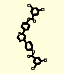 O=C(Oc1ccc(-c2cc(-c3ccc(OC(=O)c4cc(Cl)cc(Cl)c4)cc3)ncn2)cc1)c1cc(Cl)cc(Cl)c1